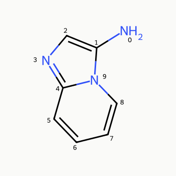 Nc1cnc2ccccn12